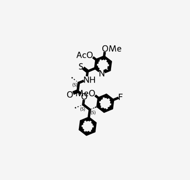 COc1cc(F)ccc1[C@H](c1ccccc1)[C@H](C)OC(=O)[C@H](C)NC(=S)c1nccc(OC)c1OC(C)=O